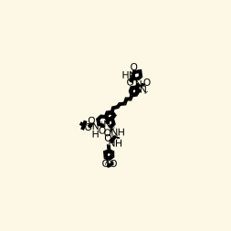 C[C@H](NC(=O)[C@@H]1Cc2cc(CCCCCCc3ccc4c(c3)n(C)c(=O)n4C3CCC(=O)NC3=O)cc3c2N1C(=O)[C@@H](NC(=O)OC(C)(C)C)CC3)C(=O)NCc1ccc(S(C)(=O)=O)cc1